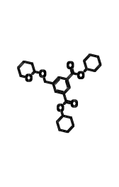 O=C(OC1CCCCC1)c1cc(COC2CCCCO2)cc(C(=O)OC2CCCCC2)c1